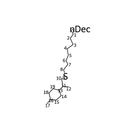 CCCCCCCCCCCCCCCCCCSCC(C)C1CCC(C)CC1